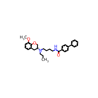 CCCN(CCCCNC(=O)c1ccc(-c2ccccc2)cc1)[C@H]1COc2c(cccc2OC)C1